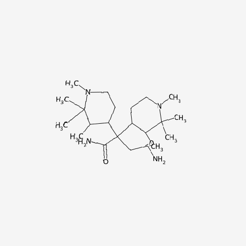 CC1C(C(CC(N)=O)(C(N)=O)C2CCN(C)C(C)(C)C2C)CCN(C)C1(C)C